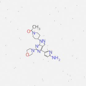 CC(=O)N1CCC(n2ncc3c(-c4ccc(N)nc4)nc(N4CCOCC4)nc32)CC1